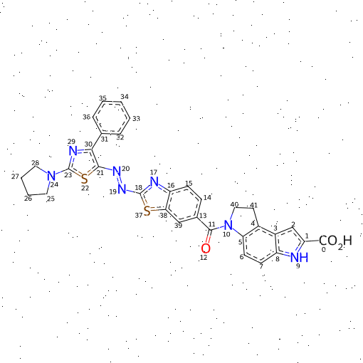 O=C(O)c1cc2c3c(ccc2[nH]1)N(C(=O)c1ccc2nc(/N=N/c4sc(N5CCCC5)nc4-c4ccccc4)sc2c1)CC3